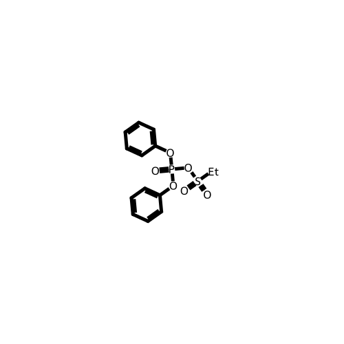 CCS(=O)(=O)OP(=O)(Oc1ccccc1)Oc1ccccc1